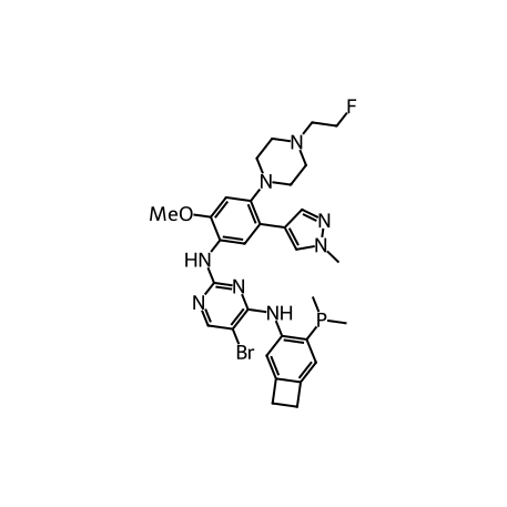 COc1cc(N2CCN(CCF)CC2)c(-c2cnn(C)c2)cc1Nc1ncc(Br)c(Nc2cc3c(cc2P(C)C)CC3)n1